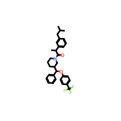 CC(C)Cc1cccc(C(C)C(=O)N2CCCC(C(Oc3ccc(C(F)(F)F)cc3)c3ccccc3)C2)c1